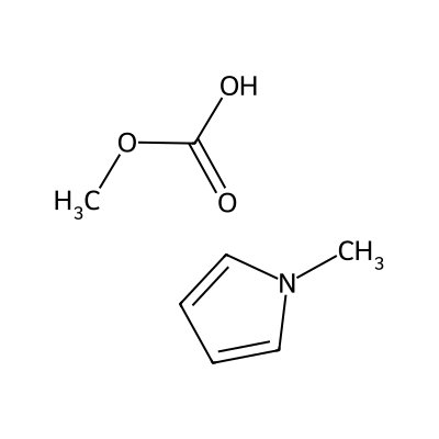 COC(=O)O.Cn1cccc1